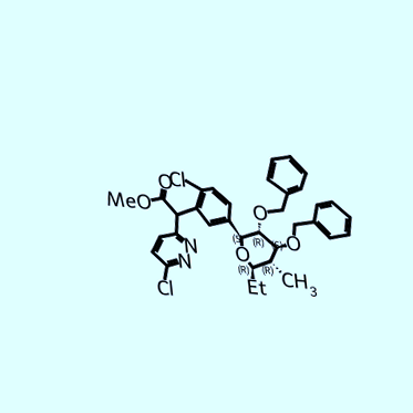 CC[C@H]1O[C@@H](c2ccc(Cl)c(C(C(=O)OC)c3ccc(Cl)nn3)c2)[C@H](OCc2ccccc2)[C@@H](OCc2ccccc2)[C@@H]1C